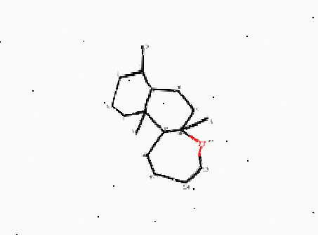 CC1CCCC2(C)C1CCC1(C)OCCCCC12